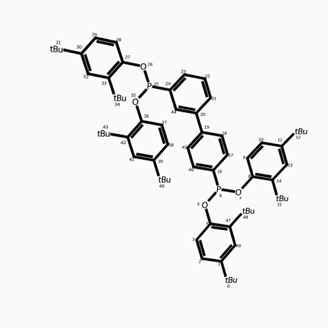 CC(C)(C)c1ccc(OP(Oc2ccc(C(C)(C)C)cc2C(C)(C)C)c2ccc(-c3cccc(P(Oc4ccc(C(C)(C)C)cc4C(C)(C)C)Oc4ccc(C(C)(C)C)cc4C(C)(C)C)c3)cc2)c(C(C)(C)C)c1